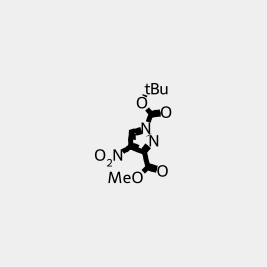 COC(=O)c1nn(C(=O)OC(C)(C)C)cc1[N+](=O)[O-]